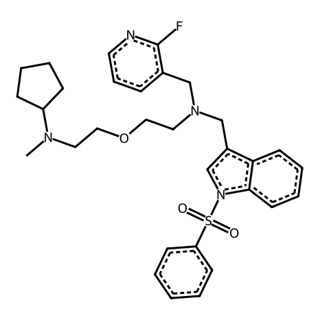 CN(CCOCCN(Cc1cccnc1F)Cc1cn(S(=O)(=O)c2ccccc2)c2ccccc12)C1CCCC1